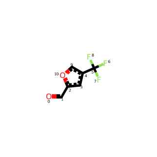 O=Cc1cc(C(F)(F)F)co1